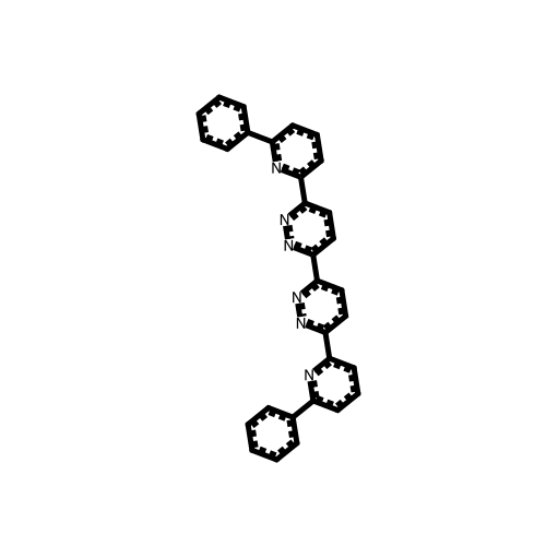 c1ccc(-c2cccc(-c3ccc(-c4ccc(-c5cccc(-c6ccccc6)n5)nn4)nn3)n2)cc1